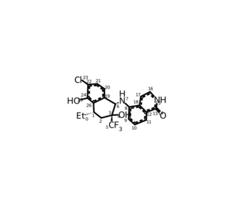 CC[C@H]1C[C@](O)(C(F)(F)F)[C@@H](Nc2cccc3c(=O)[nH]ccc23)c2ccc(Cl)c(O)c21